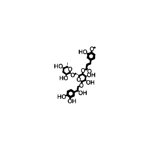 COc1ccc(/C=C/C(=O)OC2[C@@H](CO[C@@H]3O[C@@H](C)[C@H](O)C[C@@H]3O)OC(OCC(O)c3ccc(O)c(O)c3)[C@H](O)[C@H]2O)cc1O